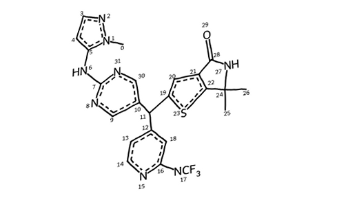 Cn1nccc1Nc1ncc(C(c2ccnc(NC(F)(F)F)c2)c2cc3c(s2)C(C)(C)NC3=O)cn1